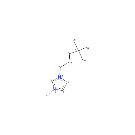 C[n+]1ccn(CCCC(C)(C)C)c1